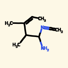 C=NC(N)C(C)/C(C)=C\C